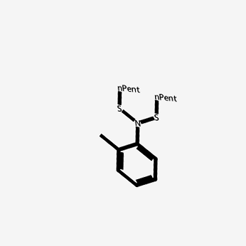 CCCCCSN(SCCCCC)c1ccccc1C